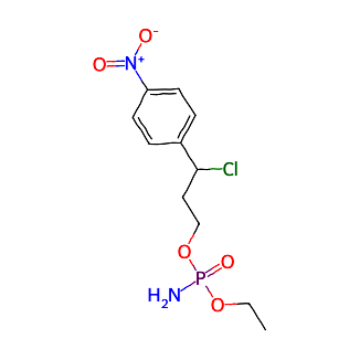 CCOP(N)(=O)OCCC(Cl)c1ccc([N+](=O)[O-])cc1